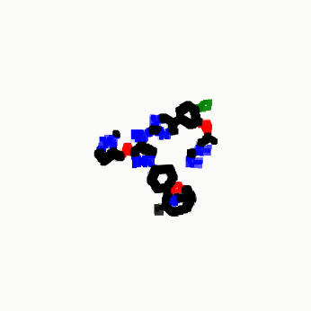 C[C@@H](CNC=N)Oc1cc(-c2cnc(Nc3cn([C@H]4CC[C@H](N5CC6CC[C@@H]5COC6)CC4)nc3OCc3ccnn3C)nc2)ccc1Cl